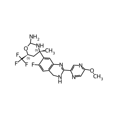 COc1cnc(C2=Nc3cc([C@]4(C)C[C@@H](C(F)(F)F)OC(N)N4)c(F)cc3CN2)cn1